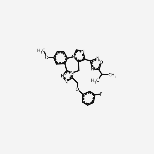 COc1ccc2c(c1)-c1nnc(COc3cccc(F)c3)n1Cc1c(-c3noc(C(C)C)n3)ncn1-2